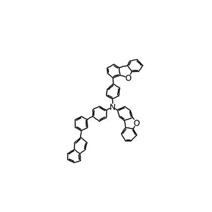 c1cc(-c2ccc(N(c3ccc(-c4cccc5c4oc4ccccc45)cc3)c3ccc4oc5ccccc5c4c3)cc2)cc(-c2ccc3ccccc3c2)c1